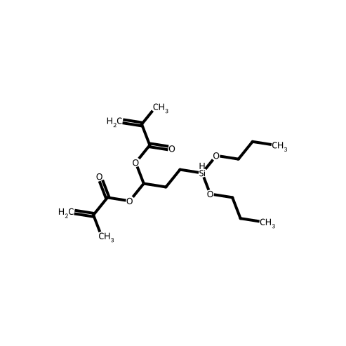 C=C(C)C(=O)OC(CC[SiH](OCCC)OCCC)OC(=O)C(=C)C